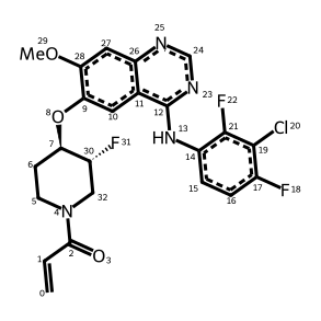 C=CC(=O)N1CC[C@@H](Oc2cc3c(Nc4ccc(F)c(Cl)c4F)ncnc3cc2OC)[C@H](F)C1